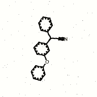 N#CC(c1ccccc1)c1cccc(Oc2ccccc2)c1